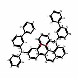 c1ccc(-c2cccc(N(c3ccccc3)c3ccc4c(ccc5c4ccc4cccc(N(c6ccccc6)c6cccc(-c7ccccc7)c6)c45)c3)c2)cc1